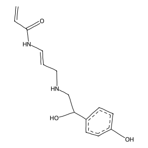 C=CC(=O)NC=CCNCC(O)c1ccc(O)cc1